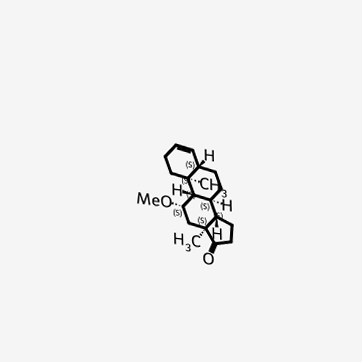 CO[C@H]1C[C@]2(C)C(=O)CC[C@H]2[C@@H]2CC[C@H]3C=CCC[C@]3(C)[C@H]21